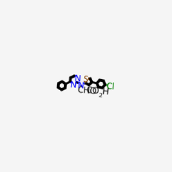 O=CN(c1nccc(-c2ccccc2)n1)c1scc(-c2ccc(Cl)cc2)c1C(=O)O